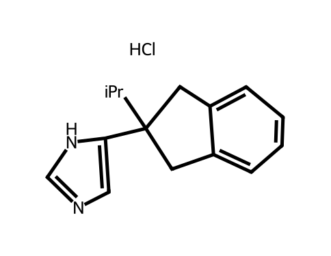 CC(C)C1(c2cnc[nH]2)Cc2ccccc2C1.Cl